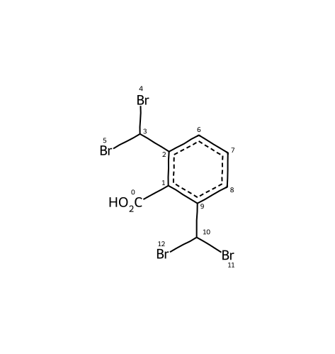 O=C(O)c1c(C(Br)Br)cccc1C(Br)Br